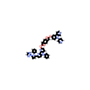 c1ccc(-n2c(-c3ccc4c(n3)c3nc(Oc5cc6cc7oc(Oc8ccc9c(c8)c8ccncc8n9-c8ccncc8)cc7cc6o5)ccc3n4-c3ccccc3)ccc2-n2nccn2)cc1